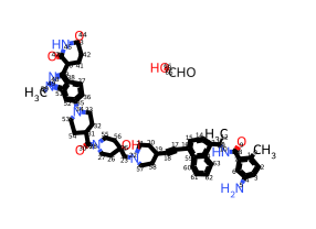 Cc1ccc(N)cc1C(=O)N[C@H](C)c1ccc(C#CC2CCN(CC3(O)CCN(C(=O)C4CCN(c5ccc6c(C7CCC(=O)NC7=O)nn(C)c6c5)CC4)CC3)CC2)c2ccccc12.O=CO